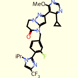 COc1ncnc(C2CC2)c1-c1cc2n(n1)CCC(=O)N2Cc1ccc(-c2nc(C(F)(F)F)cn2C(C)C)c(F)c1